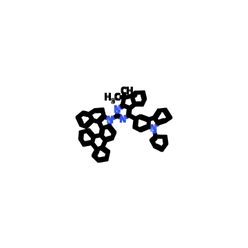 CC1(C)c2ccccc2-c2c(-c3ccc4c(c3)c3ccccc3n4-c3ccccc3)nc(-n3c4ccc5ccccc5c4c4c5c6ccccc6c6ccccc6c5ccc43)nc21